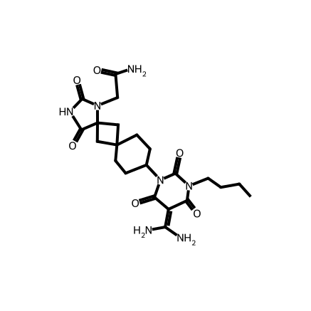 CCCCN1C(=O)C(=C(N)N)C(=O)N(C2CCC3(CC2)CC2(C3)C(=O)NC(=O)N2CC(N)=O)C1=O